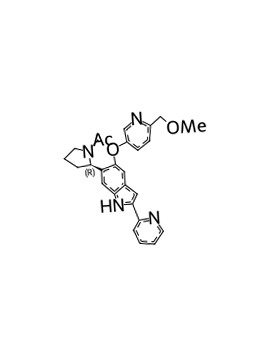 COCc1ccc(Oc2cc3cc(-c4ccccn4)[nH]c3cc2[C@H]2CCCN2C(C)=O)cn1